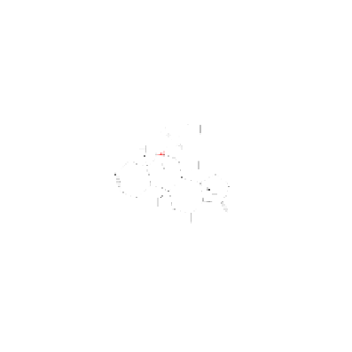 C[C@]12CC[C@H]3[C@@H](CC[C@H]4CC=CC[C@@]43COS(C)(=O)=O)[C@@H]1CCC2=O